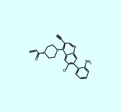 C#Cc1cnc2cc(-c3ccccc3N)c(Cl)cc2c1N1CCN(C(=O)C=C)CC1